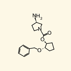 N[C@@H]1CCN(C(=O)O[C@H]2CCC[C@@H]2OCc2ccccc2)C1